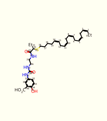 CC/C=C\C/C=C\C/C=C\C/C=C\C/C=C\CCCCS[C@H](CC)C(=O)NCCNC(=O)Nc1ccc(O)c(C(=O)O)c1